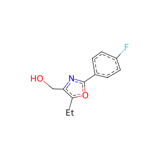 CCc1oc(-c2ccc(F)cc2)nc1CO